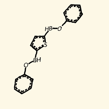 B(Oc1ccccc1)c1ccc(BOc2ccccc2)s1